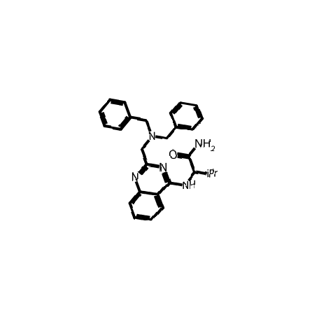 CC(C)C(Nc1nc(CN(Cc2ccccc2)Cc2ccccc2)nc2ccccc12)C(N)=O